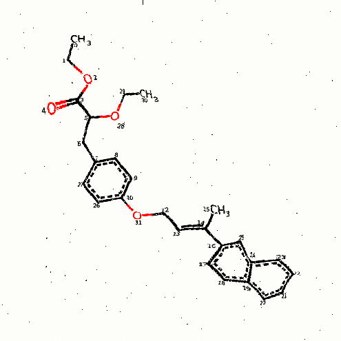 CCOC(=O)C(Cc1ccc(OCC=C(C)c2ccc3ccccc3c2)cc1)OCC